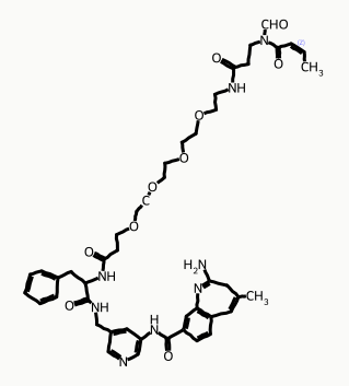 C/C=C\C(=O)N(C=O)CCC(=O)NCCOCCOCCOCCOCCC(=O)NC(Cc1ccccc1)C(=O)NCc1cncc(NC(=O)c2ccc3c(c2)N=C(N)CC(C)=C3)c1